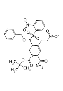 CC(C)(C)OC(=O)N1CC(N(OCc2ccccc2)S(=O)(=O)c2ccccc2[N+](=O)[O-])C(CC[N+](=O)[O-])=CC1C(N)=O